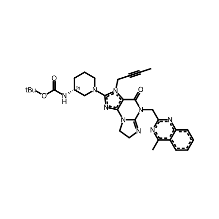 CC#CCn1c(N2CCC[C@@H](NC(=O)OC(C)(C)C)C2)nc2c1C(=O)N(Cc1nc(C)c3ccccc3n1)C1=NCCN12